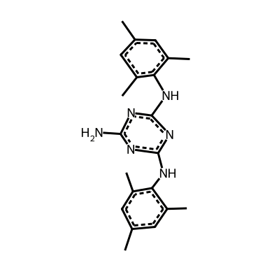 Cc1cc(C)c(Nc2nc(N)nc(Nc3c(C)cc(C)cc3C)n2)c(C)c1